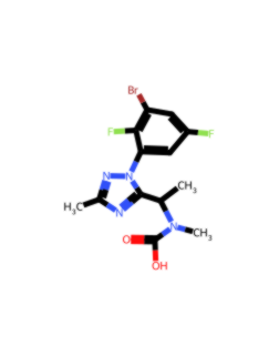 Cc1nc(C(C)N(C)C(=O)O)n(-c2cc(F)cc(Br)c2F)n1